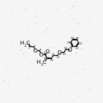 C=CCOCOC(=O)C(C)=CCCOCCOc1ccccc1